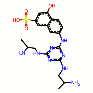 CC(N)CNc1nc(NCC(C)N)nc(Nc2ccc3c(O)cc(S(=O)(=O)O)cc3c2)n1